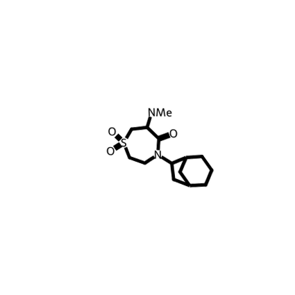 CNC1CS(=O)(=O)CCN(C2CC3CCCC2C3)C1=O